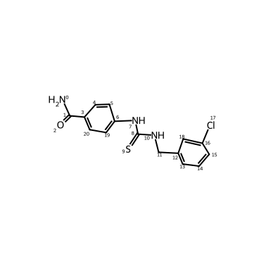 NC(=O)c1ccc(NC(=S)NCc2cccc(Cl)c2)cc1